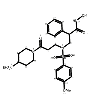 CCOC(=O)C1CCN(C(=O)CCN(CC(C(=O)NO)c2ccccc2)S(=O)(=O)c2ccc(OC)cc2)CC1